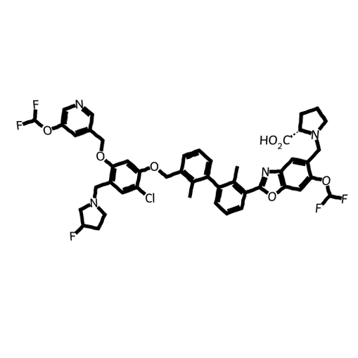 Cc1c(COc2cc(OCc3cncc(OC(F)F)c3)c(CN3CCC(F)C3)cc2Cl)cccc1-c1cccc(-c2nc3cc(CN4CCC[C@H]4C(=O)O)c(OC(F)F)cc3o2)c1C